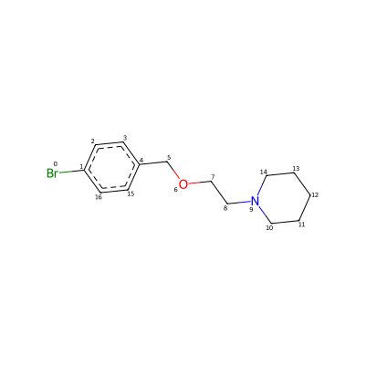 Brc1ccc(COCCN2CCCCC2)cc1